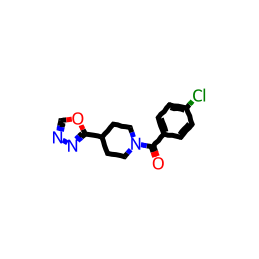 O=C(c1ccc(Cl)cc1)N1CCC(c2nnco2)CC1